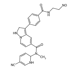 CN(C(=O)C1=CC2=C(c3ccc(C(=O)NCCN=O)cc3)CNN2C=C1)C1C=CC(C#N)=CN1